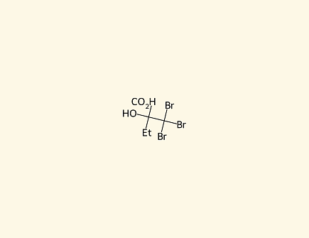 CCC(O)(C(=O)O)C(Br)(Br)Br